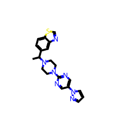 CC(c1ccc2scnc2c1)N1CCN(c2ncc(-n3cccn3)cn2)CC1